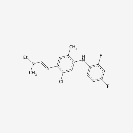 CCN(C)C=Nc1cc(C)c(Nc2ccc(F)cc2F)cc1Cl